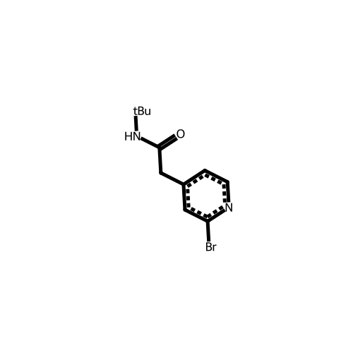 CC(C)(C)NC(=O)Cc1ccnc(Br)c1